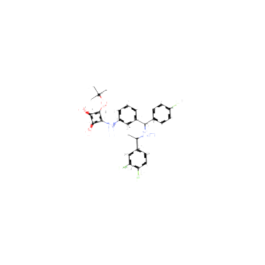 CC(NC(c1ccc(F)cc1)c1cccc(Nc2c(OC(C)(C)C)c(=O)c2=O)c1)c1ccc(F)c(F)c1